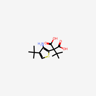 CC(C)(C)c1csc(C(C(=O)O)(C(=O)O)C(C)(C)C)c1N